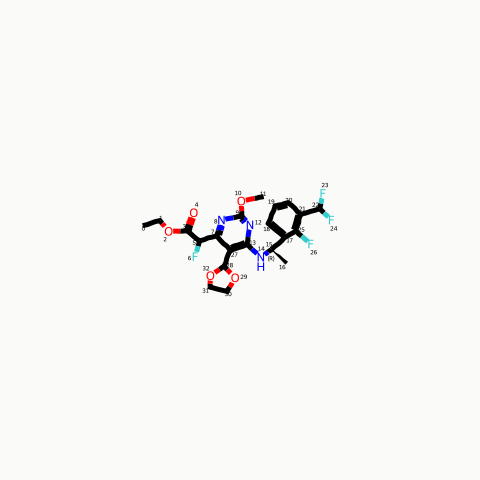 CCOC(=O)C(F)c1nc(OC)nc(N[C@H](C)c2cccc(C(F)F)c2F)c1C1OCCO1